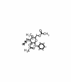 CC(=O)OCC1O[C@@H](Sc2ccccc2)[C@@H](OC(C)=O)C(N=[N+]=[N-])[C@H]1C